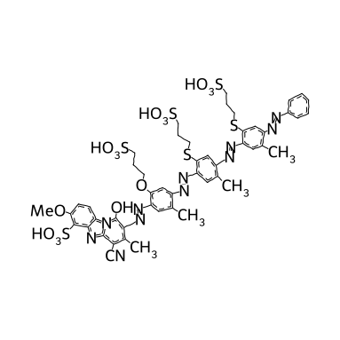 COc1ccc2c(nc3c(C#N)c(C)c(N=Nc4cc(C)c(N=Nc5cc(C)c(N=Nc6cc(C)c(N=Nc7ccccc7)cc6SCCCS(=O)(=O)O)cc5SCCCS(=O)(=O)O)cc4OCCCS(=O)(=O)O)c(O)n32)c1S(=O)(=O)O